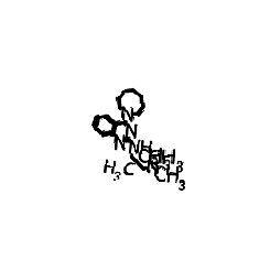 CN(C)CC(C)(C)CNc1nc(N2CCCCCCC2)c2ccccc2n1